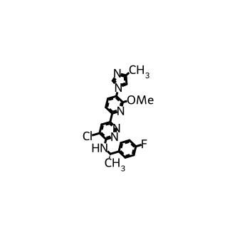 COc1nc(-c2cc(Cl)c(N[C@@H](C)c3ccc(F)cc3)nn2)ccc1-n1cnc(C)c1